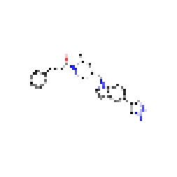 CC1CC(Cn2ccc3cc(-c4cnn(C)c4)ccc32)CCN1C(=O)CCc1ccccc1